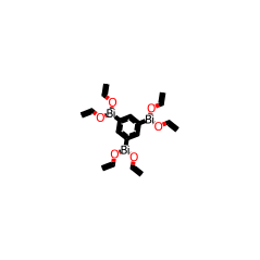 C=C[O][Bi]([O]C=C)[c]1c[c]([Bi]([O]C=C)[O]C=C)c[c]([Bi]([O]C=C)[O]C=C)c1